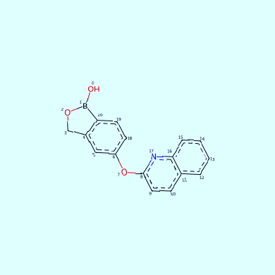 OB1OCc2cc(Oc3ccc4ccccc4n3)ccc21